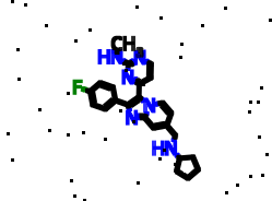 CNc1nccc(-c2c(-c3ccc(F)cc3)nc3cc(CNC4CCCC4)ccn23)n1